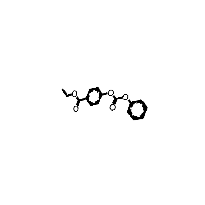 CCOC(=O)c1ccc(OC(=O)Oc2ccccc2)cc1